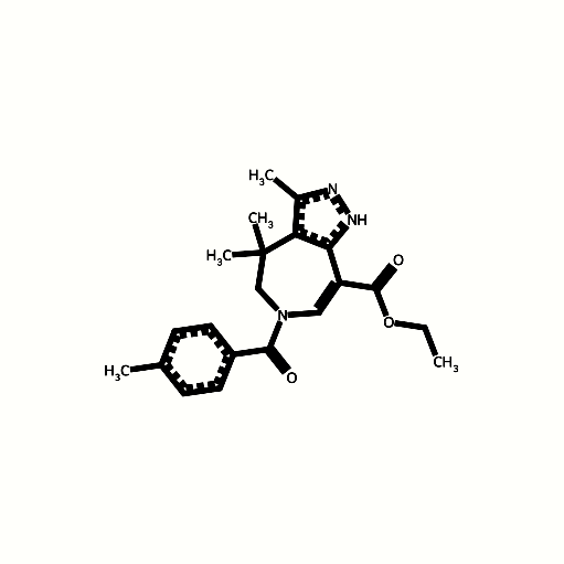 CCOC(=O)C1=CN(C(=O)c2ccc(C)cc2)CC(C)(C)c2c(C)n[nH]c21